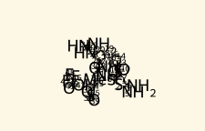 CSc1sc(C(=N)N)cc1S(=O)(=O)c1cccc(-c2c(C)cc(NC(=N)N)cc2NC(=O)NCCCCS(C)(=O)=O)c1.O=C(O)C(F)(F)F